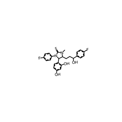 CN1C(=S)N(c2ccc(F)cc2)C(c2ccc(O)cc2O)C1CCC(O)c1ccc(F)cc1